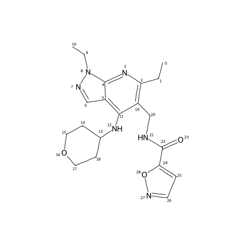 CCc1nc2c(cnn2CC)c(NC2CCOCC2)c1CNC(=O)c1ccno1